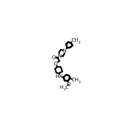 COc1cc(NC2CCC(OCC(=O)N3CCN(c4ccc(C)cc4)CC3)CC2)ccc1C